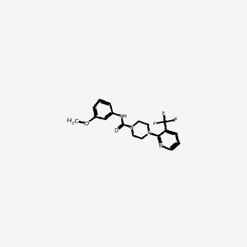 COc1cccc(NC(=O)N2CCN(c3ncccc3C(F)(F)F)CC2)c1